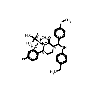 COc1ccc(C(Nc2ccc(CN)cc2)[C@@H](CC[C@H](O[Si](C)(C)C(C)(C)C)c2ccc(F)cc2)C(=O)O)cc1